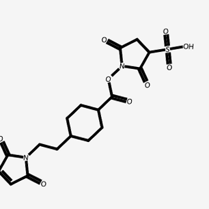 O=C(ON1C(=O)CC(S(=O)(=O)O)C1=O)C1CCC(CCN2C(=O)C=CC2=O)CC1